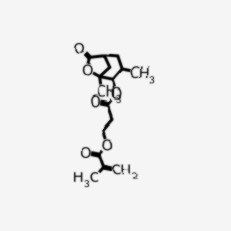 C=C(C)C(=O)OCCC(=O)OC1C(C)CC2CC1(C)OC2=O